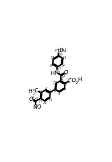 Cc1cc(-c2ccc(C(=O)O)c(C(=O)Nc3ccc(C(C)(C)C)cc3)c2)ccc1C(=O)N=O